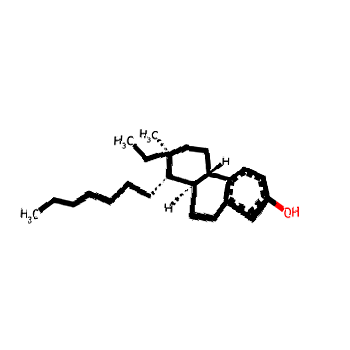 CCCCCCC[C@H]1[C@@H]2CCc3cc(O)ccc3[C@H]2CC[C@]1(C)CC